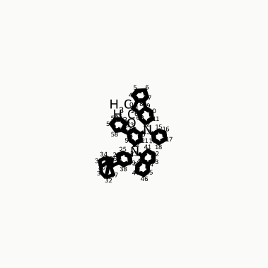 CC1(C)c2ccccc2-c2ccc(N(c3ccccc3)c3cc(N(c4ccc(C56CC7CC(CC(C7)C5)C6)cc4)c4cccc5ccccc45)cc4c3oc3ccccc34)cc21